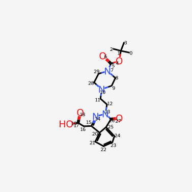 CC(C)(C)OC(=O)N1CCN(CCn2nc(CC(=O)O)c3ccccc3c2=O)CC1